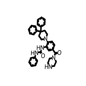 O=C(Nc1ccccc1)Nc1cc(C(=O)N2CCNCC2)ccc1N1CCC(c2ccccc2)(c2ccccc2)CC1